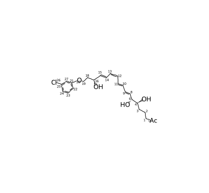 CC(=O)CCC[C@H](O)[C@H](O)/C=C/C=C/C=C\C=C\[C@@H](O)CCOc1cccc(Cl)c1